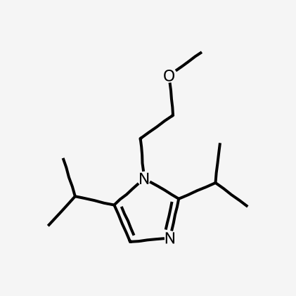 COCCn1c(C(C)C)cnc1C(C)C